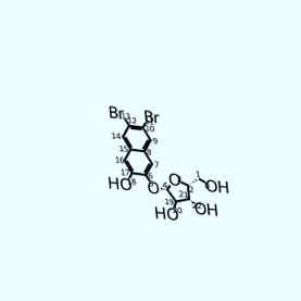 OC[C@H]1O[C@@H](Oc2cc3cc(Br)c(Br)cc3cc2O)C(O)[C@H]1O